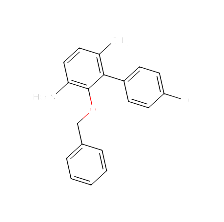 CCc1ccc(-c2c(C)ccc(S(=O)(=O)O)c2OCc2ccccc2)cc1